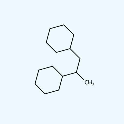 CC(CC1CCCCC1)C1CCCCC1